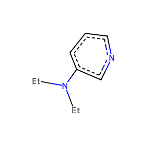 CCN(CC)c1cc[c]nc1